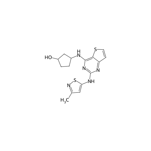 Cc1cc(Nc2nc(NC3CCC(O)C3)c3sccc3n2)sn1